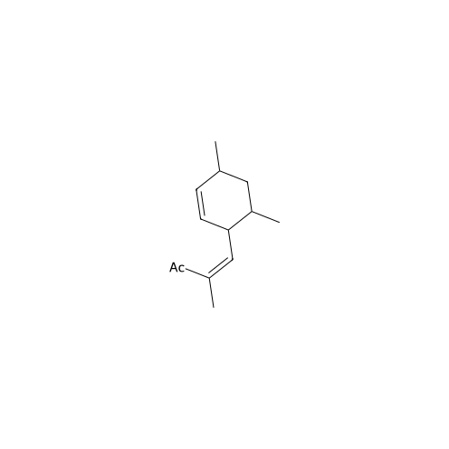 CC(=O)/C(C)=C\C1C=CC(C)CC1C